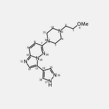 COCCN1CCN(c2ccc3ncc(-c4cn[nH]c4)n3n2)CC1